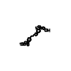 CC(C)(C)OC(=O)N1CCC(CCCOc2ccc(C(=O)N3CC[C@H](O)C3)c(F)c2)CC1